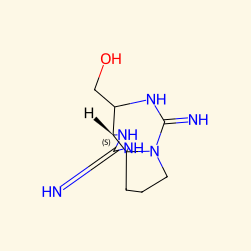 N=C1N[C@H]2C(CO)NC(=N)N3CCCC23N1